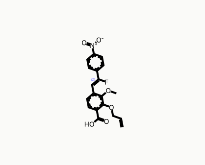 C=CCOc1c(C(=O)O)ccc(/C=C(\F)c2ccc([N+](=O)[O-])cc2)c1OC